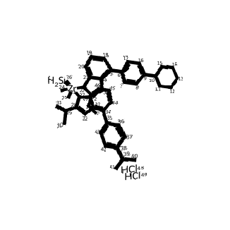 CCC1=Cc2c(-c3ccc(C4CCCCC4)cc3)cccc2[CH]1[Zr]([CH3])([CH3])(=[SiH2])[CH]1C(C(C)C)=Cc2c(-c3ccc(C(C)C)cc3)cccc21.Cl.Cl